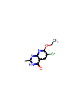 Cc1nc2nc(OCC(F)(F)F)c(Br)cc2c(=O)[nH]1